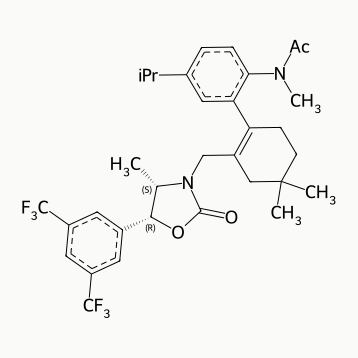 CC(=O)N(C)c1ccc(C(C)C)cc1C1=C(CN2C(=O)O[C@H](c3cc(C(F)(F)F)cc(C(F)(F)F)c3)[C@@H]2C)CC(C)(C)CC1